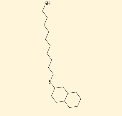 SCCCCCCCCCCSC1CCC2CCCCC2C1